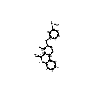 COc1cccc(Cc2ncc3c(c2C)c(=O)oc2ccccc23)c1